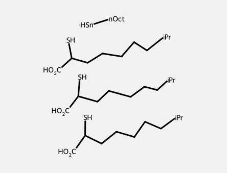 CC(C)CCCCCC(S)C(=O)O.CC(C)CCCCCC(S)C(=O)O.CC(C)CCCCCC(S)C(=O)O.CCCCCCC[CH2][SnH]